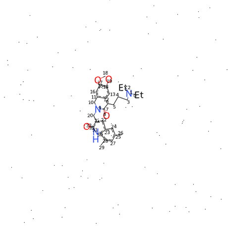 CCN(CC)CCCCC(=O)N(Cc1ccc2c(c1)OCO2)Cc1cc2cc(C)cc(C)c2[nH]c1=O